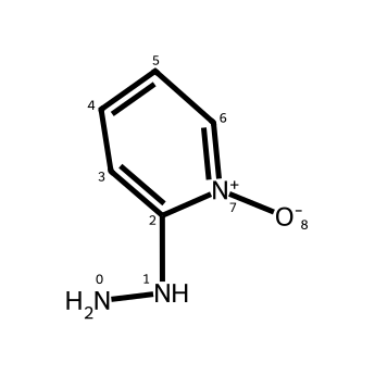 NNc1cccc[n+]1[O-]